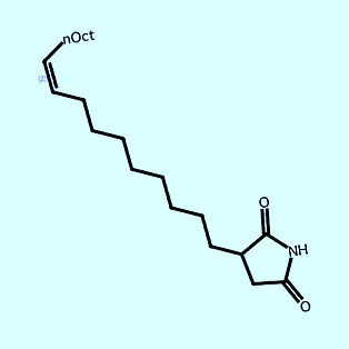 CCCCCCCC/C=C\CCCCCCCCC1CC(=O)NC1=O